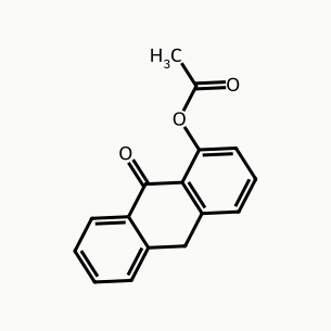 CC(=O)Oc1cccc2c1C(=O)c1ccccc1C2